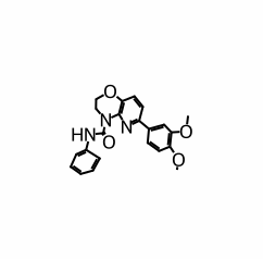 COc1ccc(-c2ccc3c(n2)N(C(=O)Nc2ccccc2)CCO3)cc1OC